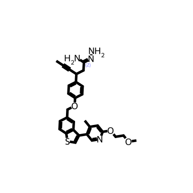 CC#CC(C/C(N)=N/N)c1ccc(OCc2ccc3scc(-c4cnc(OCCOC)cc4C)c3c2)cc1